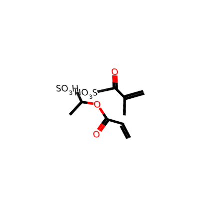 C=C(C)C(=O)S(=O)(=O)O.C=CC(=O)OC(C)S(=O)(=O)O